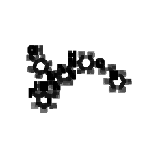 OC[C@H]1CC[C@@H](n2c(Nc3c(F)cccc3F)nc3cnc(N[C@H]4CC[C@H](OCCN5CCCCC5)CC4)nc32)CC1